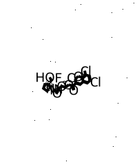 O=C(OCOn1on1N1CCC[C@H]1CO)C1=Cc2cc(Cl)cc(Cl)c2OC1C(F)(F)F